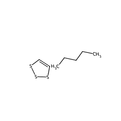 C1=CSSS1.CCCCC